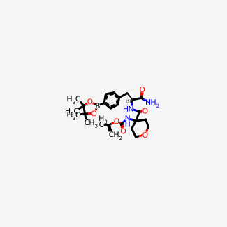 C=C(C)OC(=O)NC1(C(=O)N[C@@H](Cc2ccc(B3OC(C)(C)C(C)(C)O3)cc2)C(N)=O)CCOCC1